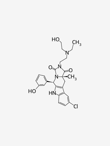 CCN(CCO)CCN1C(=O)N2[C@H](c3cccc(O)c3)c3[nH]c4ccc(Cl)cc4c3C[C@@]2(C)C1=O